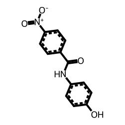 O=C(Nc1ccc(O)cc1)c1ccc([N+](=O)[O-])cc1